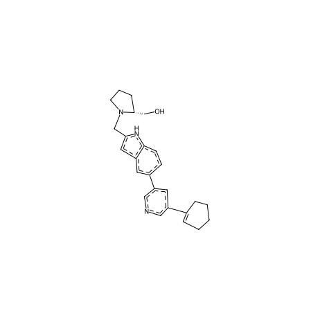 OC[C@H]1CCCN1Cc1cc2cc(-c3cncc(C4=CCCCC4)c3)ccc2[nH]1